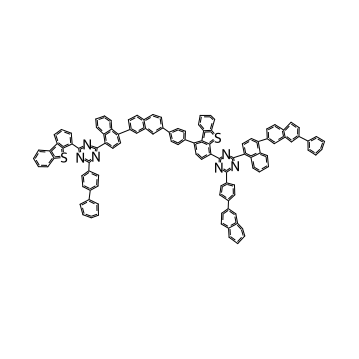 c1ccc(-c2ccc(-c3nc(-c4ccc(-c5ccc6ccc(-c7ccc(-c8ccc(-c9nc(-c%10ccc(-c%11ccc%12ccccc%12c%11)cc%10)nc(-c%10ccc(-c%11ccc%12ccc(-c%13ccccc%13)cc%12c%11)c%11ccccc%10%11)n9)c9sc%10ccccc%10c89)cc7)cc6c5)c5ccccc45)nc(-c4cccc5c4sc4ccccc45)n3)cc2)cc1